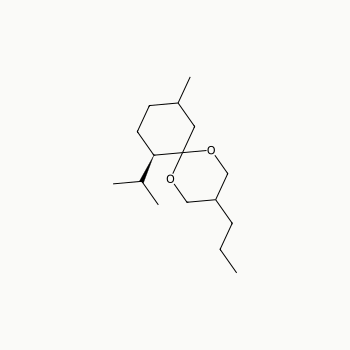 CCCC1COC2(CC(C)CC[C@@H]2C(C)C)OC1